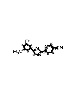 Cc1cc(F)cc(C2=NC(c3ccc(C#N)cn3)=NC2)c1